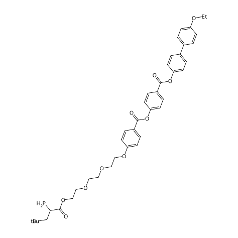 CCOc1ccc(-c2ccc(OC(=O)c3ccc(OC(=O)c4ccc(OCCOCCOCCOC(=O)C(P)CC(C)(C)C)cc4)cc3)cc2)cc1